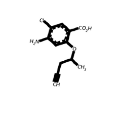 C#CCC(C)Oc1cc(N)c(Cl)cc1C(=O)O